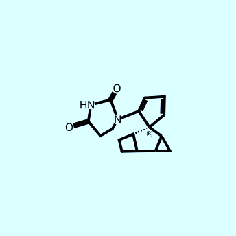 O=C1CCN(C2=CC=C[C@]23C2CCC2C2CC23)C(=O)N1